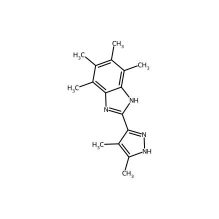 Cc1[nH]nc(-c2nc3c(C)c(C)c(C)c(C)c3[nH]2)c1C